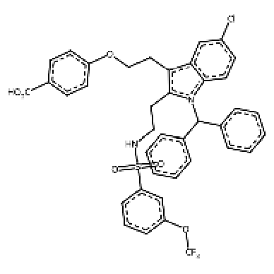 O=C(O)c1ccc(OCCc2c(CCNS(=O)(=O)c3cccc(OC(F)(F)F)c3)n(C(c3ccccc3)c3ccccc3)c3ccc(Cl)cc23)cc1